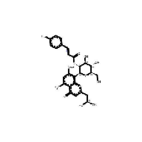 COc1cc(C)c2c(=O)cc(C[C@@H](C)O)oc2c1[C@@H]1O[C@H](CO)[C@@H](O)[C@H](O)[C@H]1OC(=O)/C=C/c1ccc(O)cc1